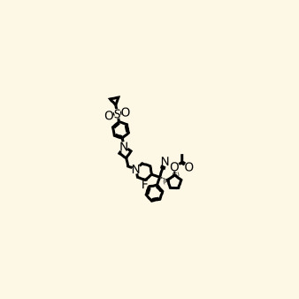 CC(=O)O[C@H]1CCC[C@@H]1C(C#N)(c1ccccc1F)C1CCN(CC2CN(c3ccc(S(=O)(=O)C4CC4)cc3)C2)CC1